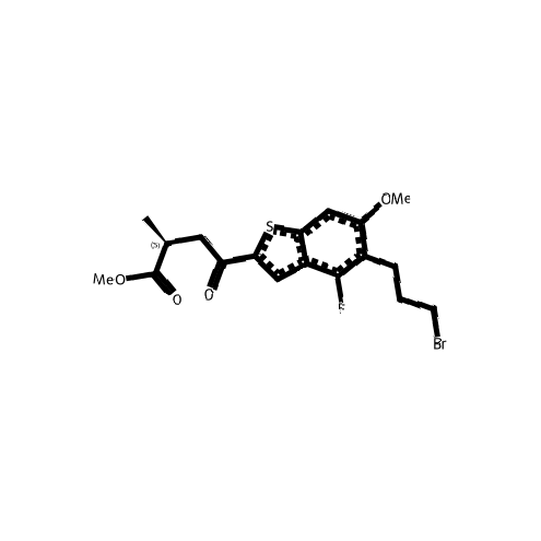 COC(=O)[C@@H](C)CC(=O)c1cc2c(F)c(CCCBr)c(OC)cc2s1